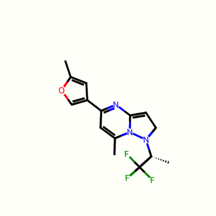 CC1=CC(c2coc(C)c2)=NC2=CCN([C@H](C)C(F)(F)F)N12